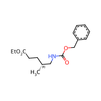 CCOC(=O)CC[C@@H](C)CNC(=O)OCc1ccccc1